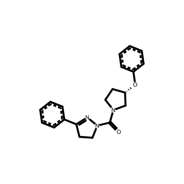 O=C(N1CC[C@H](Oc2ccccc2)C1)N1CCC(c2ccccc2)=N1